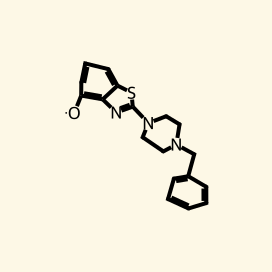 [O]c1cccc2sc(N3CCN(Cc4ccccc4)CC3)nc12